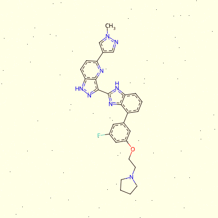 Cn1cc(-c2ccc3[nH]nc(-c4nc5c(-c6cc(F)cc(OCCN7CCCC7)c6)cccc5[nH]4)c3n2)cn1